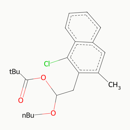 CCCCOC(Cc1c(C)cc2ccccc2c1Cl)OC(=O)C(C)(C)C